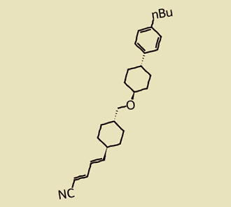 CCCCc1ccc([C@H]2CC[C@H](OC[C@H]3CC[C@H](C=CC=CC#N)CC3)CC2)cc1